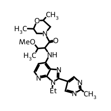 CCn1c(-c2cnc(C)nc2)nc2c(NC(C(=O)N3CC(C)OC(C)C3)C(C)OC)ccnc21